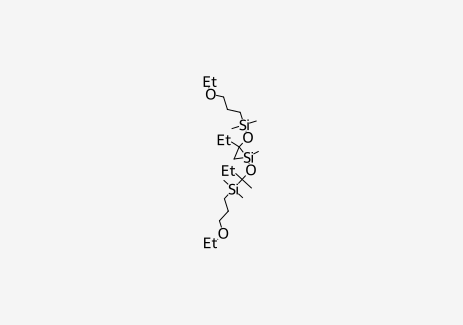 CCOCCC[Si](C)(C)OC1(CC)C[Si]1(C)OC(C)(CC)[Si](C)(C)CCCOCC